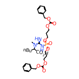 CCCCC(C(=O)O)N(C)C(=N)NP(=O)(OCCCOC(=O)OCc1ccccc1)OCCCOC(=O)OCc1ccccc1